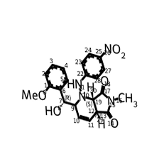 COc1ccccc1[C@@H](O)C1C=C[C@H]2C(=O)N(C)C(=O)[C@H]2N1Nc1ccc([N+](=O)[O-])cc1